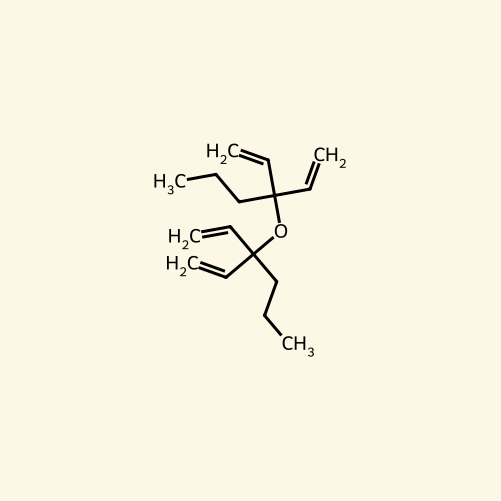 C=CC(C=C)(CCC)OC(C=C)(C=C)CCC